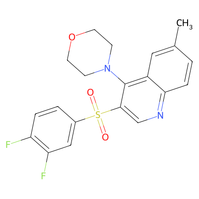 Cc1ccc2ncc(S(=O)(=O)c3ccc(F)c(F)c3)c(N3CCOCC3)c2c1